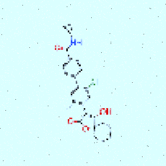 Cc1cc(-c2ccc(C(=O)NC3CC3)cc2)c(Cl)cc1C1=C(O)C2(CCCCC2)OC1=O